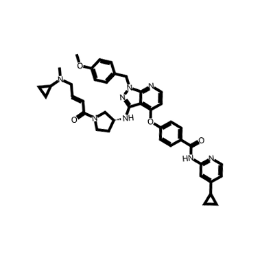 COc1ccc(Cn2nc(N[C@@H]3CCN(C(=O)C=CCN(C)C4CC4)C3)c3c(Oc4ccc(C(=O)Nc5cc(C6CC6)ccn5)cc4)ccnc32)cc1